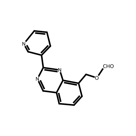 O=COCc1cccc2cnc(-c3cccnc3)nc12